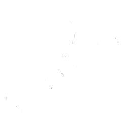 N[C@@H](CNc1nc(C#CC2=CCCC2)c(-c2ccc3cnccc3c2)s1)Cc1ccc(C(F)(F)F)cc1